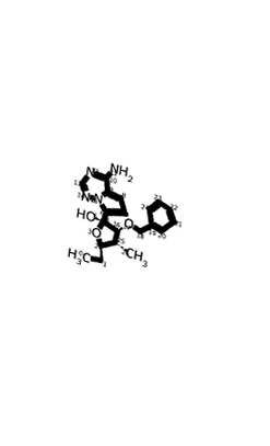 CC[C@H]1O[C@@](O)(c2ccc3c(N)ncnn23)[C@H](OCc2ccccc2)[C@@H]1C